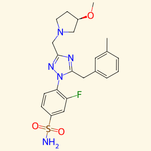 CO[C@@H]1CCN(Cc2nc(Cc3cccc(C)c3)n(-c3ccc(S(N)(=O)=O)cc3F)n2)C1